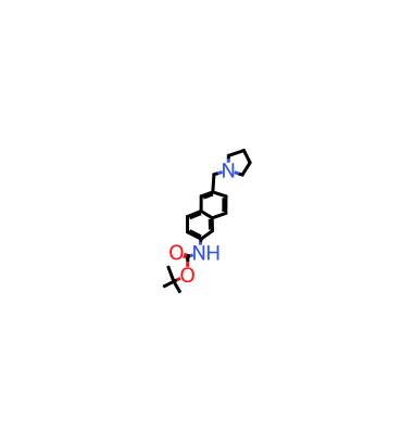 CC(C)(C)OC(=O)Nc1ccc2cc(CN3CCCC3)ccc2c1